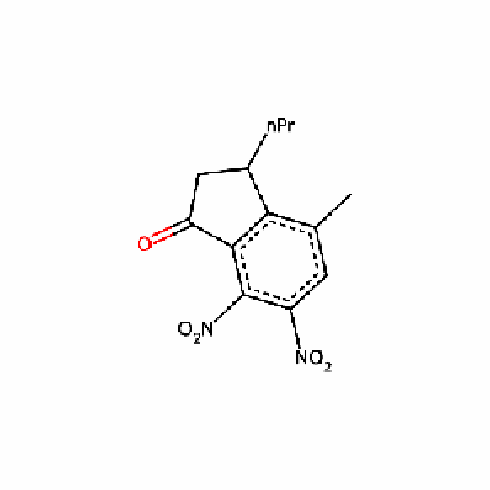 CCCC1CC(=O)c2c1c(C)cc([N+](=O)[O-])c2[N+](=O)[O-]